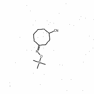 C[Si](C)(C)O/N=C1/CCCCC(C#N)CC1